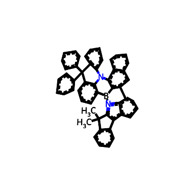 CC1(C)c2ccccc2-c2c1n1c3c(cccc23)-c2cc3ccccc3c3c2B1c1cccc2c1N3c1ccccc1C2(c1ccccc1)c1ccccc1